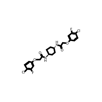 O=C(COc1ccc(Cl)c(F)c1)N[C@H]1CC[C@H](NC(=O)COc2ccc(Cl)c(F)c2)CC1